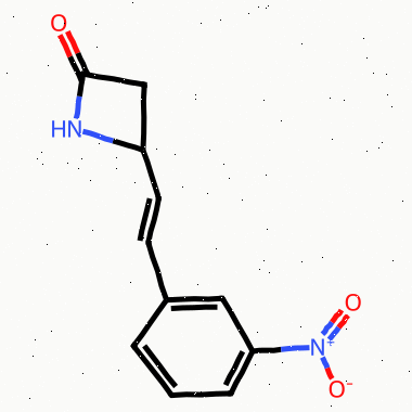 O=C1CC(/C=C/c2cccc([N+](=O)[O-])c2)N1